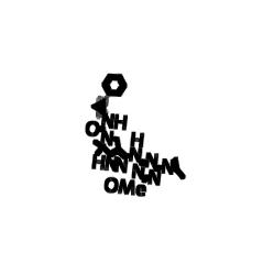 COc1nc(Nc2n[nH]c3c2CN(C(=O)N[C@H]2C[C@@H]2c2ccccc2)C3(C)C)nc(N2CC2C)n1